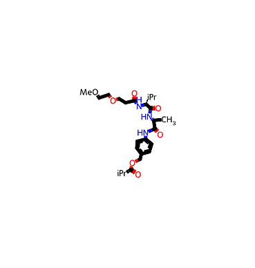 COCCOCCC(=O)N[C@@H](C(=O)NC(C)C(=O)Nc1ccc(COC(=O)C(C)C)cc1)C(C)C